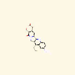 CC[C@@]1(O)C(=O)OCc2c1cc1n(c2=O)Cc2c-1nc1ccc(N)c3c1c2CCS3